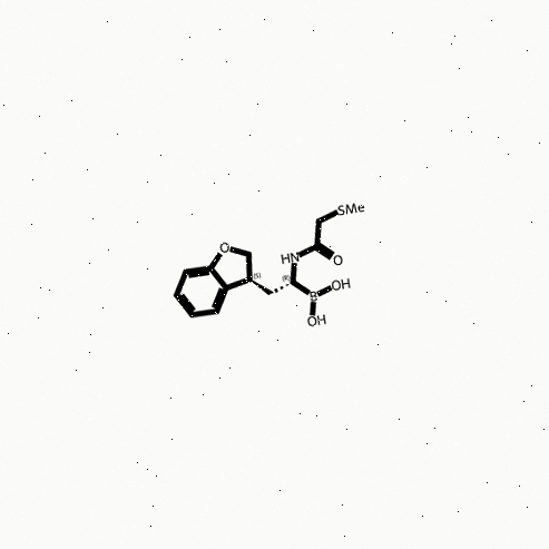 CSCC(=O)N[C@@H](C[C@@H]1COc2ccccc21)B(O)O